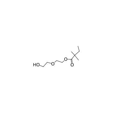 CCC(C)(C)C(=O)OCCOCCO